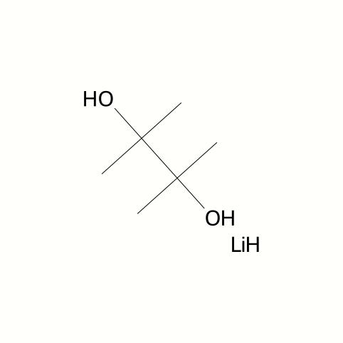 CC(C)(O)C(C)(C)O.[LiH]